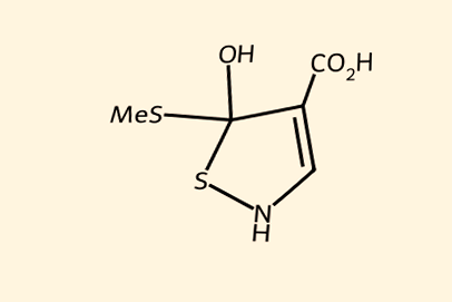 [CH2]SC1(O)SNC=C1C(=O)O